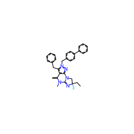 C=C1c2c(nn(Cc3ccc(-c4ccccc4)cc3)c2Cc2ccccc2)N2C[C@](F)(CC)N=C2N1C